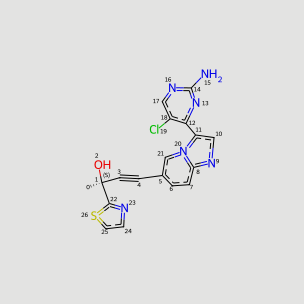 C[C@](O)(C#Cc1ccc2ncc(-c3nc(N)ncc3Cl)n2c1)c1nccs1